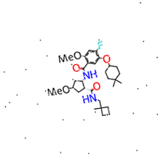 COc1cc(F)c(OC2CCC(C)(C)CC2)cc1C(=O)N[C@H]1C[C@H](OC)C[C@H]1C(=O)NCC1(C)CCC1